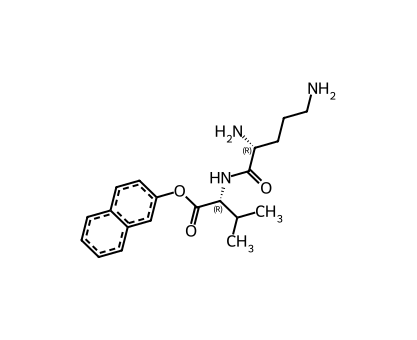 CC(C)[C@@H](NC(=O)[C@H](N)CCCN)C(=O)Oc1ccc2ccccc2c1